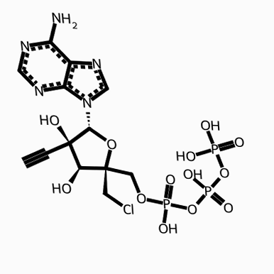 C#C[C@@]1(O)[C@H](O)[C@@](CCl)(COP(=O)(O)OP(=O)(O)OP(=O)(O)O)O[C@H]1n1cnc2c(N)ncnc21